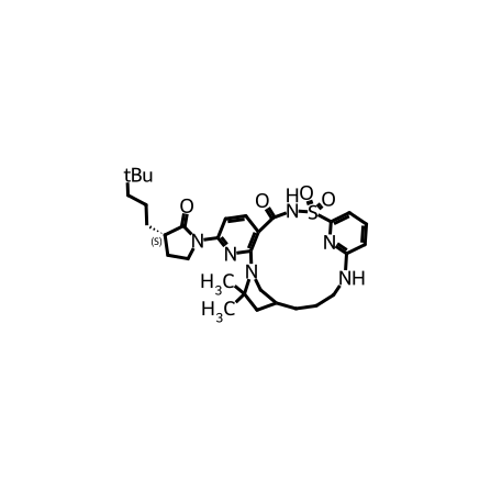 CC(C)(C)CCC[C@H]1CCN(c2ccc3c(n2)N2CC(CCCNc4cccc(n4)S(=O)(=O)NC3=O)CC2(C)C)C1=O